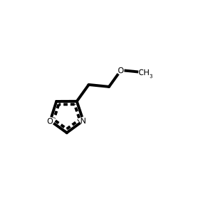 COCCc1cocn1